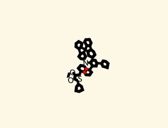 c1ccc(-c2ccc(N(c3ccc(-c4sc(-c5ccccc5)c5c4OCCO5)cc3)c3ccc4c(c3)C3(c5ccccc5-c5ccccc53)c3ccccc3-4)c(-c3ccccc3)c2)cc1